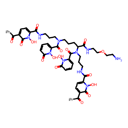 CC(C)C(=O)c1ccc(C(=O)NCCCN(CCCC(C(=O)NCCOCCN)N(CCCNC(=O)c2ccc(C(=O)C(C)C)c(=O)n2O)C(=O)c2cccc(=O)n2O)C(=O)c2cccc(=O)n2O)n(O)c1=O